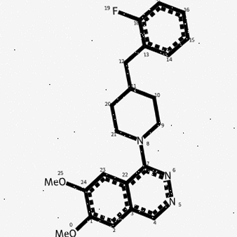 COc1cc2cnnc(N3CCC(Cc4ccccc4F)CC3)c2cc1OC